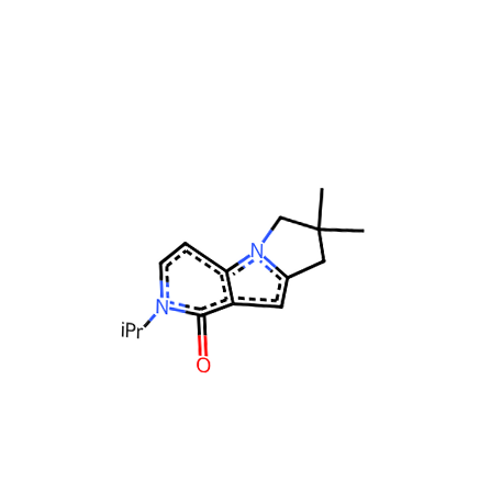 CC(C)n1ccc2c(cc3n2CC(C)(C)C3)c1=O